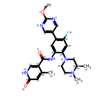 CC(C)Oc1ncc(-c2cc(NC(=O)c3c[nH]c(=O)cc3C(F)(F)F)c(N3CCN(C)[C@H](C)C3)cc2F)cn1